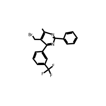 Cc1nc(-c2ccccc2)nc(-c2cccc(C(F)(F)F)c2)c1CBr